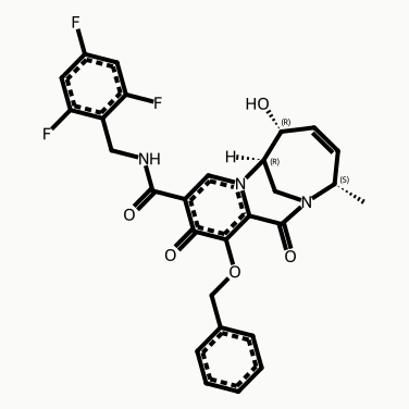 C[C@H]1C=C[C@@H](O)[C@H]2CN1C(=O)c1c(OCc3ccccc3)c(=O)c(C(=O)NCc3c(F)cc(F)cc3F)cn12